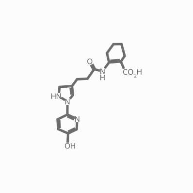 O=C(CCC1=CN(c2ccc(O)cn2)NC1)NC1=C(C(=O)O)CCCC1